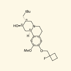 COc1cc2c(cc1OCC1(F)CCC1)CCN1C[C@@H](CC(C)(C)C)[C@H](O)C[C@H]21